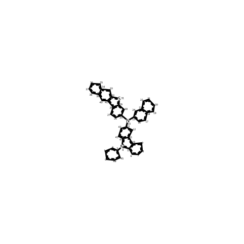 c1ccc(-n2c3ccccc3c3cc(N(c4ccc5ccccc5c4)c4ccc5c(c4)sc4cc6ccccc6cc45)ccc32)cc1